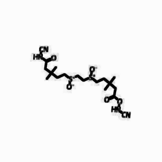 CC(C)(CC[S+]([O-])CC[S+]([O-])CCC(C)(C)CC(=O)ONC#N)CC(=O)NC#N